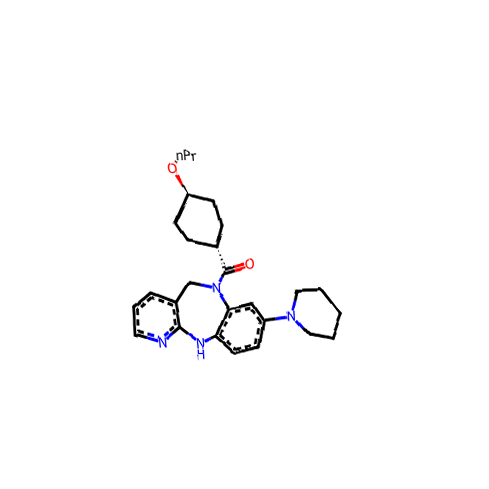 CCCO[C@H]1CC[C@H](C(=O)N2Cc3cccnc3Nc3ccc(N4CCCCC4)cc32)CC1